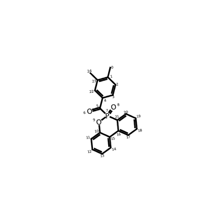 Cc1ccc(C(=O)P2(=O)Oc3ccccc3-c3ccccc32)cc1C